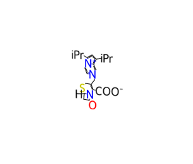 CC(C)c1cc(C(C)C)[n+]2ccn(CC3=C(C(=O)[O-])N4C(=O)C[C@@H]4SC3)cc1-2